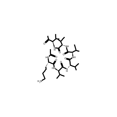 CC(=O)N[C@@H](CCCCN)C(=O)N[C@@H](C(=O)N[C@H](C(=O)N[C@@H](C(=O)N[C@H](C(=O)N[C@@H](C(C)=O)C(C)C)C(C)C)C(C)C)C(C)C)C(C)C